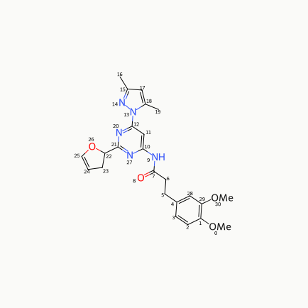 COc1ccc(CCC(=O)Nc2cc(-n3nc(C)cc3C)nc(C3CC=CO3)n2)cc1OC